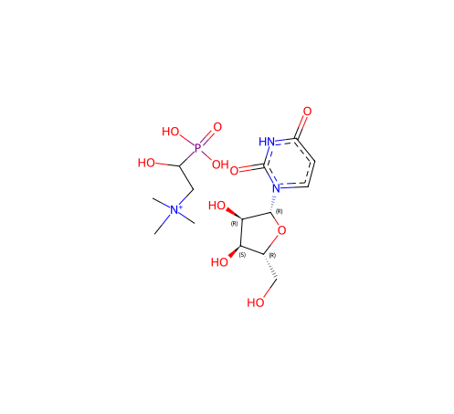 C[N+](C)(C)CC(O)P(=O)(O)O.O=c1ccn([C@@H]2O[C@H](CO)[C@@H](O)[C@H]2O)c(=O)[nH]1